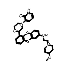 COC1CCN(CCNc2ccc3c(c2)Sc2cccc(C4CN(c5ccc[nH]c5=O)CCO4)c2S3)CC1